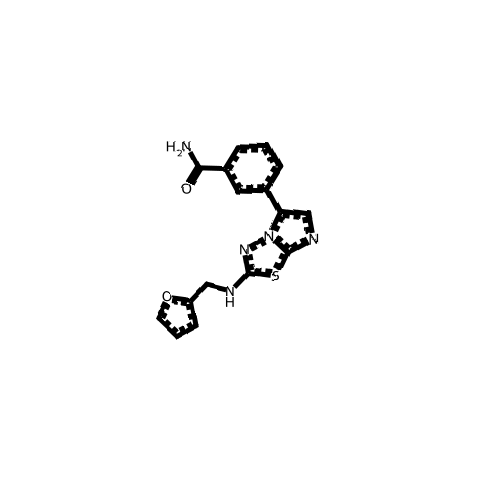 NC(=O)c1cccc(-c2cnc3sc(NCc4ccco4)nn23)c1